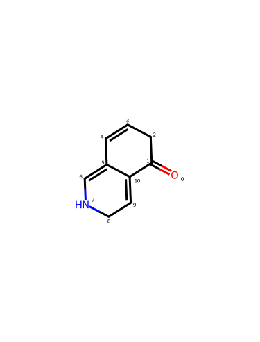 O=C1CC=CC2=CNCC=C12